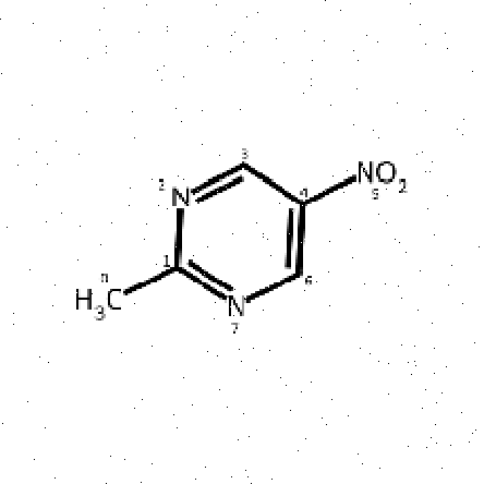 Cc1ncc([N+](=O)[O-])cn1